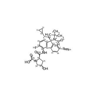 CC(C)(C)N([SH]=O)[C@](CCC1CC1)(c1cccc(C#N)c1)c1ccc(F)c(NC(=O)[C@H]2C[C@@H](O)CN2C(=O)O)c1